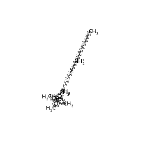 CCCCCCCCCCCCCCCCCC[NH2+]CCCCCCCCCCCCCCCCCC.Cc1ccc([B-](c2ccc(C)cc2)(c2ccc(C)cc2)c2ccc(C)cc2)cc1